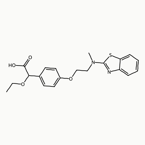 CCOC(C(=O)O)c1ccc(OCCN(C)c2nc3ccccc3s2)cc1